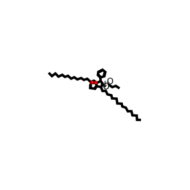 CCCCCCCCCCCCCCCCC(c1ccccc1)[N+](C)(OC(=O)CCC)C(CCCCCCCCCCCCCCCC)c1ccccc1